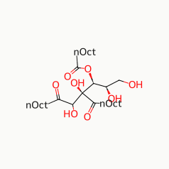 CCCCCCCCC(=O)O[C@@H]([C@H](O)CO)[C@](O)(C(=O)CCCCCCCC)C(O)C(=O)CCCCCCCC